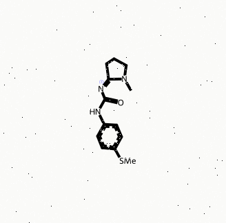 CSc1ccc(NC(=O)/N=C2/CCCN2C)cc1